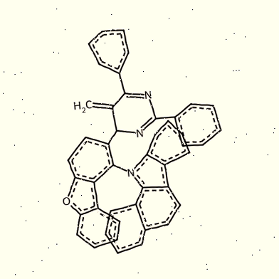 C=C1C(c2ccccc2)=NC(c2ccccc2)=NC1c1ccc2oc3ccccc3c2c1-n1c2ccccc2c2ccc3ccccc3c21